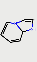 [C]1=CN2C=CC=CC2N1